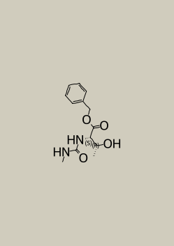 CNC(=O)N[C@H](C(=O)OCc1ccccc1)[C@@H](C)O